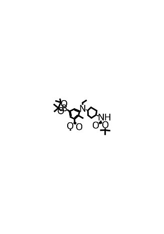 CCN(c1cc(B2OC(C)(C)C(C)(C)O2)cc(C(=O)OC)c1C)[C@H]1CC[C@H](NC(=O)OC(C)(C)C)CC1